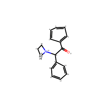 O=C(c1ccccc1)C(c1ccccc1)N1CC[AsH]1